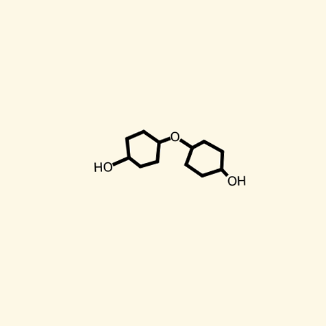 OC1CCC(OC2CCC(O)CC2)CC1